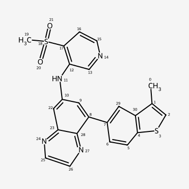 Cc1csc2ccc(-c3cc(Nc4cnccc4S(C)(=O)=O)cc4nccnc34)cc12